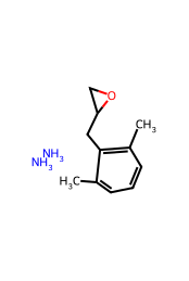 Cc1cccc(C)c1CC1CO1.N.N